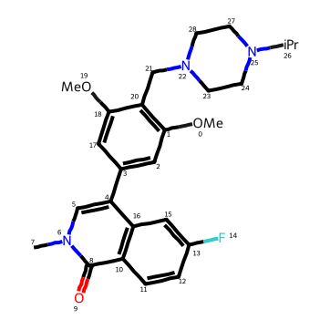 COc1cc(-c2cn(C)c(=O)c3ccc(F)cc23)cc(OC)c1CN1CCN(C(C)C)CC1